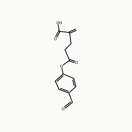 C=C(CCC(=O)Oc1ccc(C=O)cc1)C(=O)O